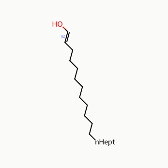 CCCCCCCCCCCCCCCCC/C=C/O